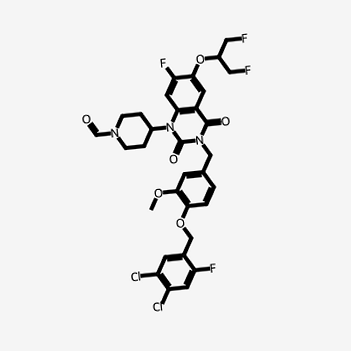 COc1cc(Cn2c(=O)c3cc(OC(CF)CF)c(F)cc3n(C3CCN(C=O)CC3)c2=O)ccc1OCc1cc(Cl)c(Cl)cc1F